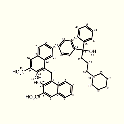 O=C(O)c1cc2ccccc2c(Cc2c(O)c(C(=O)O)cc3ccccc23)c1O.OC(CCCN1CCCCC1)(c1ccccc1)c1ccccc1